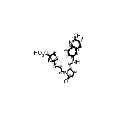 Cc1ccc2cc(NC[C@H]3CCC(=O)N3CCSc3nc(C(=O)O)cs3)ccc2n1